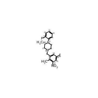 Cc1c(CN2CCN(c3cc[c]cc3F)[C@@H](C)C2)cc(F)cc1[N+](=O)[O-]